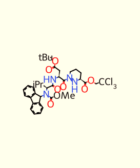 COC(=O)N(C1c2ccccc2-c2ccccc21)[C@H](C(=O)N[C@@H](CC(=O)OC(C)(C)C)C(=O)N1CCC[C@@H](C(=O)OCC(Cl)(Cl)Cl)N1)C(C)C